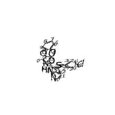 CC(C1COc2ccccc2O1)N(C)C(=O)c1[nH]c2ncccc2c1Sc1ccc(Cl)cc1